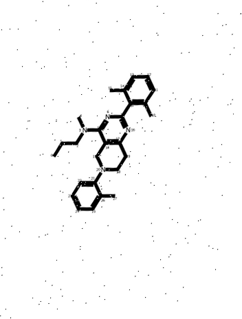 CCCN(C)c1nc(-c2c(C)cccc2C)nc2c1CN(c1ccccc1C)CC2